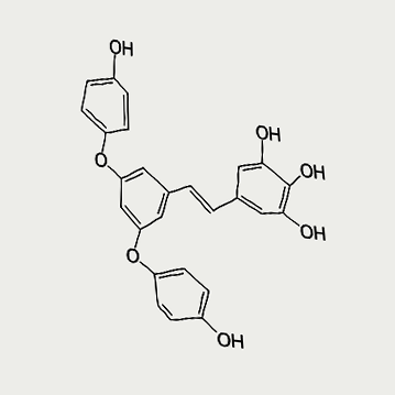 Oc1ccc(Oc2cc(C=Cc3cc(O)c(O)c(O)c3)cc(Oc3ccc(O)cc3)c2)cc1